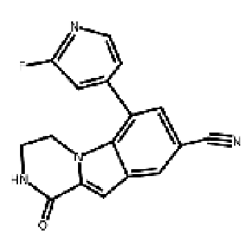 N#Cc1cc(-c2ccnc(F)c2)c2c(c1)cc1n2CCNC1=O